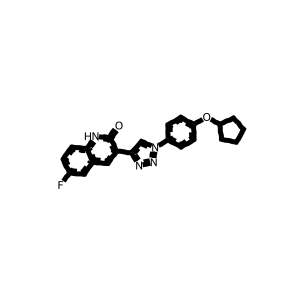 O=c1[nH]c2ccc(F)cc2cc1-c1cn(-c2ccc(OC3CCCC3)cc2)nn1